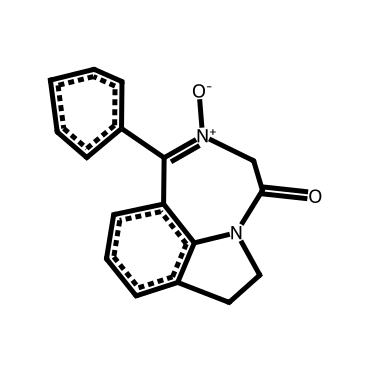 O=C1C[N+]([O-])=C(c2ccccc2)c2cccc3c2N1CC3